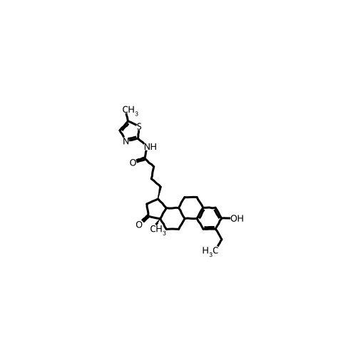 CCc1cc2c(cc1O)CCC1C2CC[C@]2(C)C(=O)C[C@@H](CCCC(=O)Nc3ncc(C)s3)C12